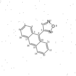 c1ccc2c(-c3cnon3)c3ccccc3cc2c1